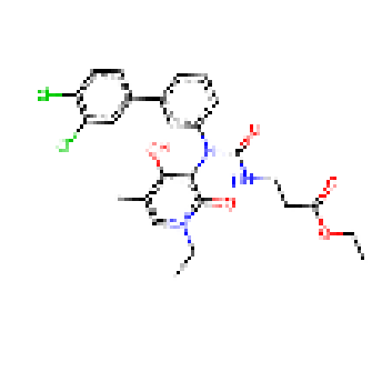 CCOC(=O)CCNC(=O)N(c1cccc(-c2ccc(Cl)c(Cl)c2)c1)c1c(O)c(C)cn(CC)c1=O